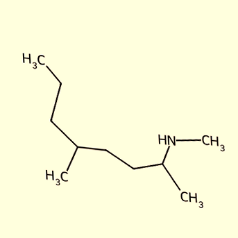 CCCC(C)CCC(C)NC